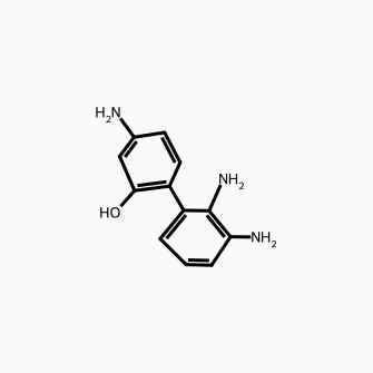 Nc1ccc(-c2cccc(N)c2N)c(O)c1